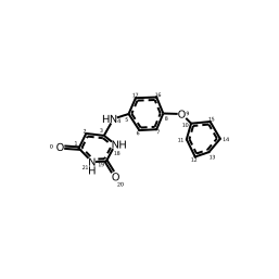 O=c1cc(Nc2ccc(Oc3ccccc3)cc2)[nH]c(=O)[nH]1